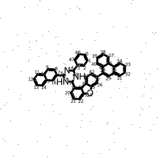 c1ccc(C2N=C(c3ccc4ccccc4c3)NC(c3cccc4oc5cc(-c6cc7ccccc7c7ccccc67)ccc5c34)N2)cc1